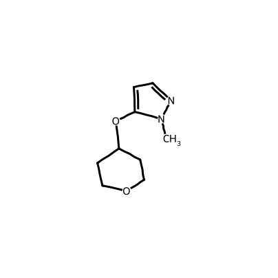 Cn1nccc1OC1CCOCC1